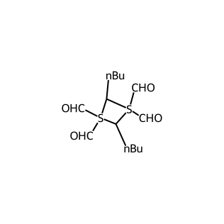 CCCCC1S(C=O)(C=O)C(CCCC)S1(C=O)C=O